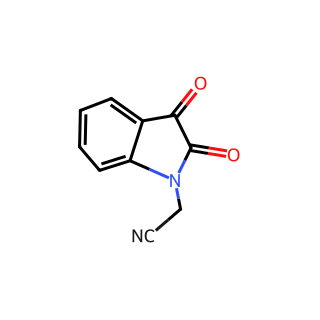 N#CCN1C(=O)C(=O)c2ccccc21